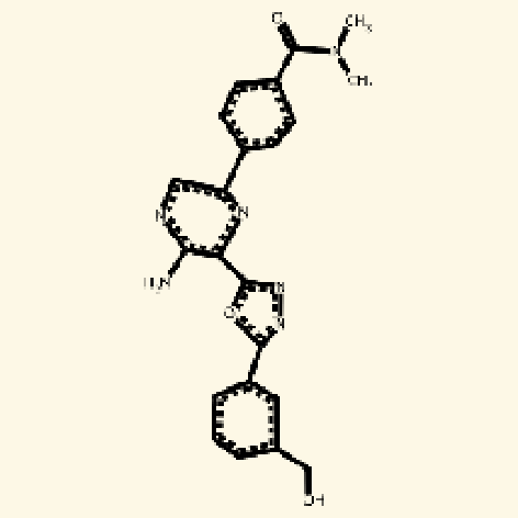 CN(C)C(=O)c1ccc(-c2cnc(N)c(-c3nnc(-c4cccc(CO)c4)o3)n2)cc1